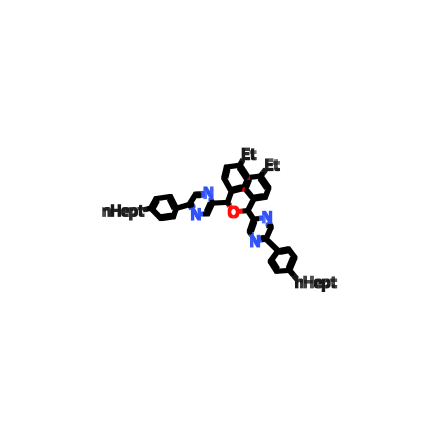 CCCCCCCc1ccc(-c2cnc(C(OC(c3ccc(CC)cc3)c3cnc(-c4ccc(CCCCCCC)cc4)cn3)c3ccc(CC)cc3)cn2)cc1